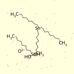 CCCCCCC[CH2][Sn+]([CH2]CCCCCCC)[CH2]CCCCCCC.CCCCCCC[CH2][Sn+]([OH])[OH].[O-2]